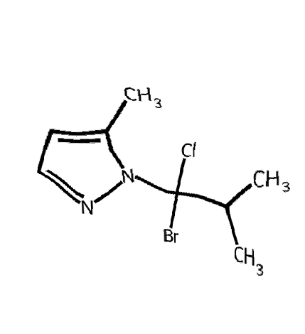 Cc1ccnn1C(Cl)(Br)C(C)C